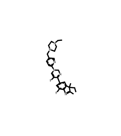 CCN1CCN(Cc2ccc(N3C=C(F)C(c4cc(F)c5c(c4)C(C)(CC)C(C)=N5)=NC3)nc2)CC1